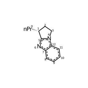 CCC[C@@H]1CCn2c1nc1ccccc12